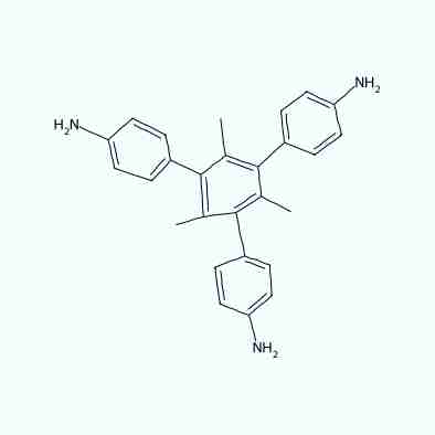 Cc1c(-c2ccc(N)cc2)c(C)c(-c2ccc(N)cc2)c(C)c1-c1ccc(N)cc1